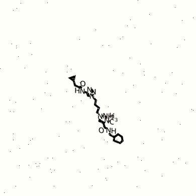 CN1NN(CCCCn2cc(NC(=O)CC3CC3)nn2)C=C1C(=O)NCC1CCCCC1